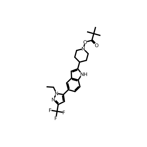 CCn1nc(C(F)(F)F)cc1-c1ccc2[nH]c(C3CCN(OC(=O)C(C)(C)C)CC3)cc2c1